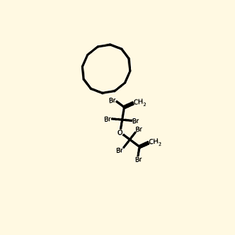 C1CCCCCCCCCCC1.C=C(Br)C(Br)(Br)OC(Br)(Br)C(=C)Br